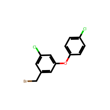 Clc1ccc(Oc2cc(Cl)cc(CBr)c2)cc1